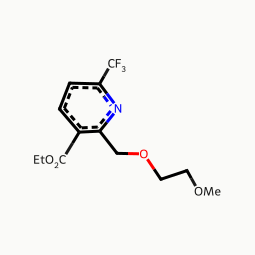 CCOC(=O)c1ccc(C(F)(F)F)nc1COCCOC